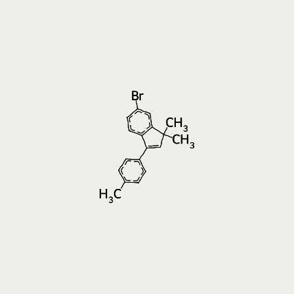 Cc1ccc(C2=CC(C)(C)c3cc(Br)ccc32)cc1